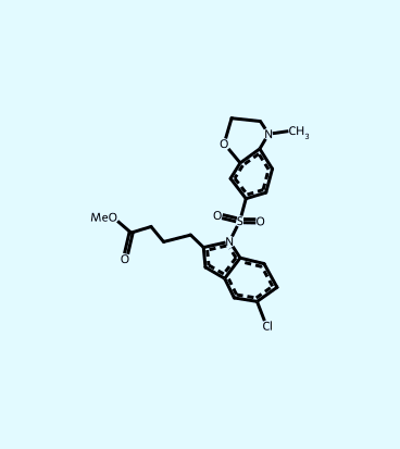 COC(=O)CCCc1cc2cc(Cl)ccc2n1S(=O)(=O)c1ccc2c(c1)OCCN2C